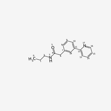 CCCNC(=O)Cc1cccc(-c2ccccn2)c1